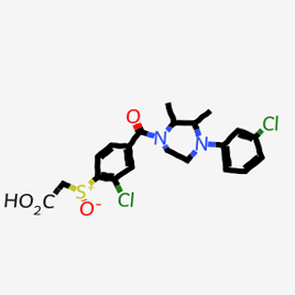 CC1C(C)N(c2cccc(Cl)c2)CCN1C(=O)c1ccc([S+]([O-])CC(=O)O)c(Cl)c1